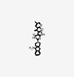 C=C(c1cc(C)cnc1Cl)c1n[nH]c2nc(N3CCC4(CC3)Cc3ccccc3[C@H]4N)[nH]c(=O)c12